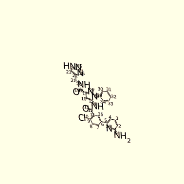 Nc1cccc(-c2ccc(Cl)c(C(=O)Nc3cc(C(=O)NCc4c[nH]nn4)nn3-c3ccccc3)c2)n1